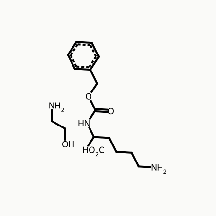 NCCCCC(NC(=O)OCc1ccccc1)C(=O)O.NCCO